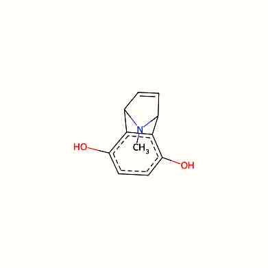 CN1C2C=CC1c1c(O)ccc(O)c12